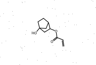 C=CC(=O)OC1CC2(O)CCC1C2